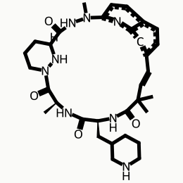 C[C@@H]1NC(=O)[C@H](CC2CCCNC2)NC(=O)C(C)(C)/C=C/c2ccc3ccc(nc3c2)N(C)NC(=O)[C@@H]2CCCN(N2)C1=O